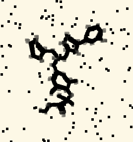 CCOC(=O)C(C)(C)Oc1c(C)cc(CN(Cc2ncco2)Cc2nnc(-c3ccccc3)o2)cc1C